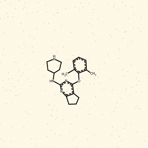 Cc1cccc(C)c1Oc1nc(NC2CCNCC2)nc2c1CCC2